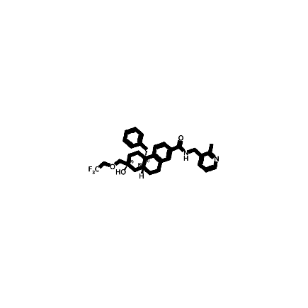 Cc1ncccc1CNC(=O)c1ccc2c(c1)CC[C@@H]1C[C@@](O)(COCC(F)(F)F)CC[C@@]21Cc1ccccc1